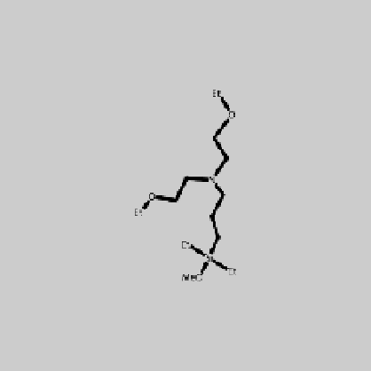 CCOCCN(CCC[Si](CC)(CC)OC)CCOCC